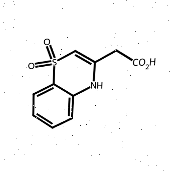 O=C(O)CC1=CS(=O)(=O)c2ccccc2N1